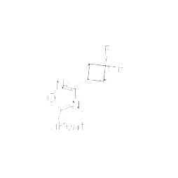 CCCC(C)c1nc(C2CC(F)(F)C2)no1